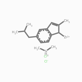 CC1=Cc2cc(CC(C)C)ccc2[CH]1[Zr+2].C[SiH2]C.[Cl-].[Cl-]